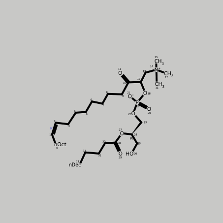 CCCCCCCC/C=C\CCCCCCCC(=O)C(C[N+](C)(C)C)OP(=O)([O-])OC[C@@H](CO)OC(=O)CCCCCCCCCCCCC